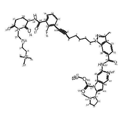 Cc1nn(CCCCCC#Cc2cccc(C(=O)NC3CCC(=O)N(COCC[Si](C)(C)C)C3=O)c2F)c2cc(C(=O)Nc3cc4c(cn3)cc([C@H]3CCCN3C)n4C(=O)OC(C)(C)C)ccc12